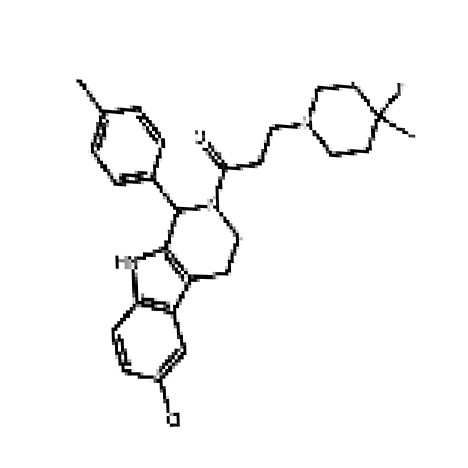 Cc1ccc(C2c3[nH]c4ccc(Cl)cc4c3CCN2C(=O)CCN2CCC(F)(F)CC2)cc1